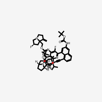 C=C1CCN2C[C@H](F)CC12COc1nc2c3c(nc(-c4cc(NC(=O)OC(C)(C)C)cc5cccc(C#C[Si](C(C)C)(C(C)C)C(C)C)c45)c(F)c3n1)O[C@@H](C)[C@@H]1[C@@H]3CC[C@H](CN21)N3C(=O)OC(C)(C)C